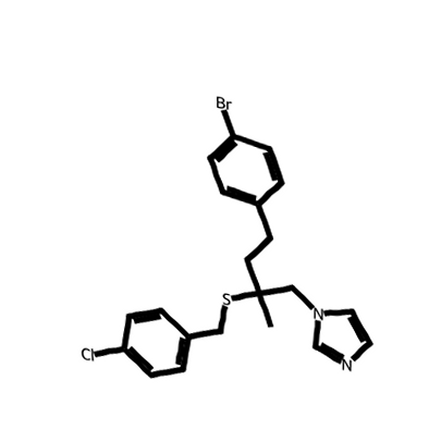 CC(CCc1ccc(Br)cc1)(Cn1ccnc1)SCc1ccc(Cl)cc1